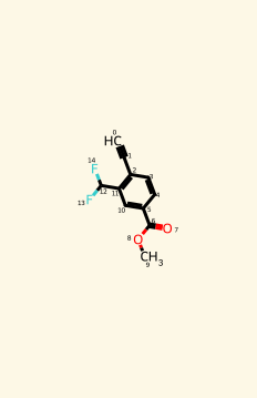 C#Cc1ccc(C(=O)OC)cc1C(F)F